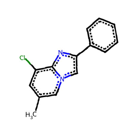 Cc1cc(Cl)c2nc(-c3ccccc3)cn2c1